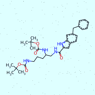 CC(C)(C)OC(=O)NCCCC(CNC(=O)c1cc2ccc(Cc3ccccc3)cc2[nH]1)NC(=O)OC(C)(C)C